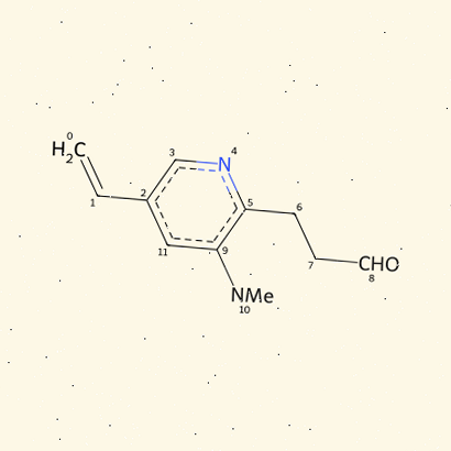 C=Cc1cnc(CCC=O)c(NC)c1